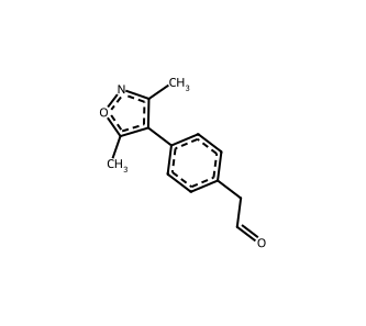 Cc1noc(C)c1-c1ccc(CC=O)cc1